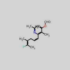 C=C(OC=O)/C(C)=C(/C=C\C/C(C)=C(\C)F)\N=C(\C)C(C)CC